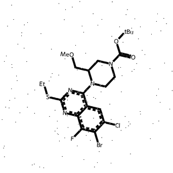 CCSc1nc(N2CCN(C(=O)OC(C)(C)C)CC2COC)c2cc(Cl)c(Br)c(F)c2n1